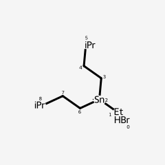 Br.C[CH2][Sn]([CH2]CC(C)C)[CH2]CC(C)C